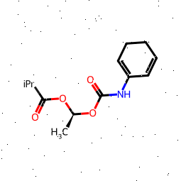 CC(C)C(=O)O[C@H](C)OC(=O)NC1=CC[CH]C=C1